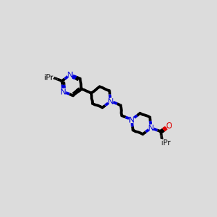 CC(C)C(=O)N1CCN(CCN2CCC(c3cnc(C(C)C)nc3)CC2)CC1